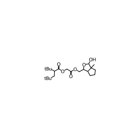 CC(C)(C)CC(C(=O)OCC(=O)OCC1OC(O)C2(C)CCCC12)C(C)(C)C